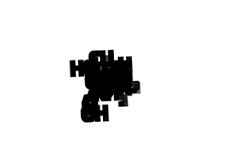 CC(O)CC(=O)C(C(=O)O)N(C(=O)C(N)Cc1ccc(O)cc1)C(=O)C(N)Cc1c[nH]cn1